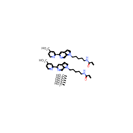 C=CC(=O)NCCCCCn1ccc2cc(-c3cc(C(=O)O)ccn3)ncc21.C=CC(=O)NCCCCCn1ccc2cc(-c3cc(C(=O)O)ccn3)ncc21.CC(=O)O.CC(=O)O.CC(=O)O.CC(=O)O.CC(=O)O